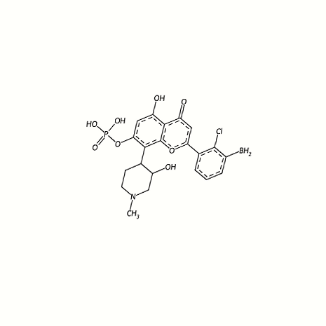 Bc1cccc(-c2cc(=O)c3c(O)cc(OP(=O)(O)O)c(C4CCN(C)CC4O)c3o2)c1Cl